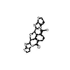 O=c1c2ccc3c(=O)n4c5ccsc5nc4c4sc(c2c34)c2nc3sccc3n12